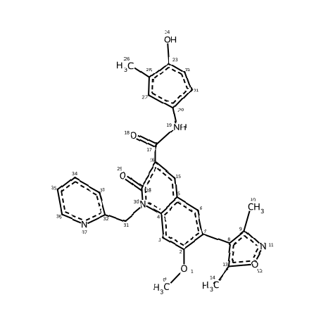 COc1cc2c(cc1-c1c(C)noc1C)cc(C(=O)Nc1ccc(O)c(C)c1)c(=O)n2Cc1ccccn1